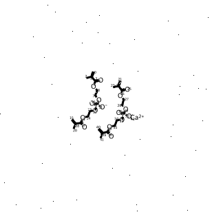 C=C(C)C(=O)OCCOP(=O)([O-])OCCOC(=O)C(=C)C.C=C(C)C(=O)OCCOP(=O)([O-])OCCOC(=O)C(=C)C.[Ca+2]